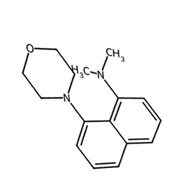 CN(C)c1cccc2cccc(N3CCOCC3)c12